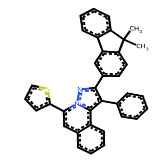 CC1(C)c2ccccc2-c2cc(-c3nn4c(-c5cccs5)cc5ccccc5c4c3-c3ccccc3)ccc21